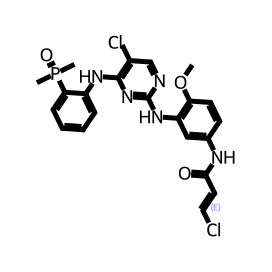 COc1ccc(NC(=O)/C=C/Cl)cc1Nc1ncc(Cl)c(Nc2ccccc2P(C)(C)=O)n1